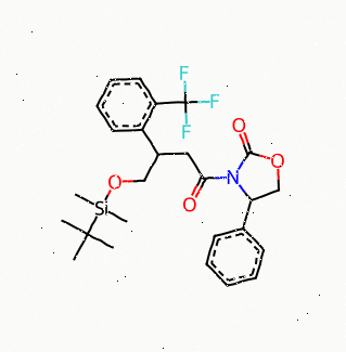 CC(C)(C)[Si](C)(C)OCC(CC(=O)N1C(=O)OCC1c1ccccc1)c1ccccc1C(F)(F)F